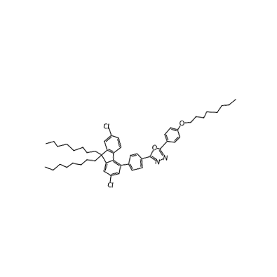 CCCCCCCCOc1ccc(-c2nnc(-c3ccc(-c4cc(Cl)cc5c4-c4ccc(Cl)cc4C5(CCCCCCCC)CCCCCCCC)cc3)o2)cc1